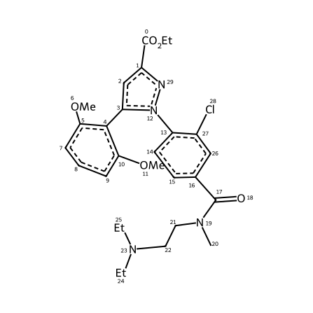 CCOC(=O)c1cc(-c2c(OC)cccc2OC)n(-c2ccc(C(=O)N(C)CCN(CC)CC)cc2Cl)n1